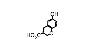 O=C(O)C1=Cc2cc(O)ccc2OC1